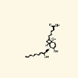 CCCCCCCC(O)C#C[C@H]1[C@H](O)CC[C@]2(OC)C(=CCCCC(=O)O)C[C@H]12